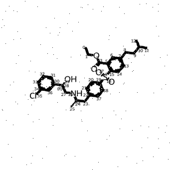 CCOC(=O)c1cc(CCC(C)C)ccc1S(=O)(=O)c1ccc(C[C@@H](C)NC[C@H](O)c2cccc(Cl)c2)cc1